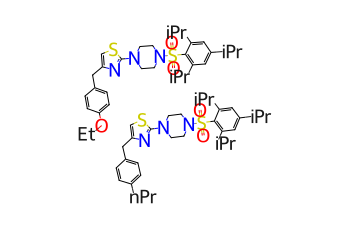 CCCc1ccc(Cc2csc(N3CCN(S(=O)(=O)c4c(C(C)C)cc(C(C)C)cc4C(C)C)CC3)n2)cc1.CCOc1ccc(Cc2csc(N3CCN(S(=O)(=O)c4c(C(C)C)cc(C(C)C)cc4C(C)C)CC3)n2)cc1